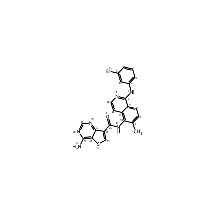 Cc1ccc2c(Nc3cccc(Br)c3)nccc2c1NC(=O)c1csc2c(N)ncnc12